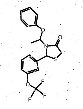 CC(Oc1ccccc1)N1C(=O)CSC1c1cccc(OC(F)(F)F)c1